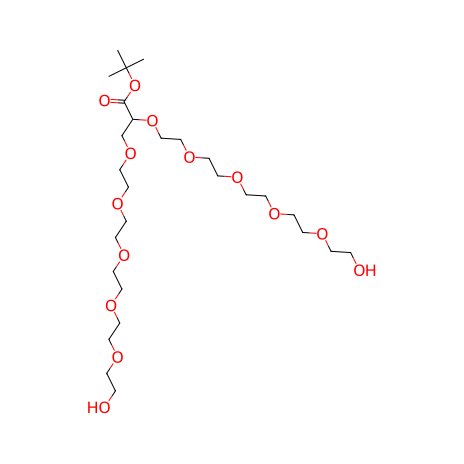 CC(C)(C)OC(=O)C(COCCOCCOCCOCCOCCO)OCCOCCOCCOCCOCCO